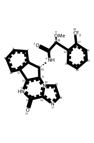 CO[C@@H](C(=O)N[C@H]1c2ccccc2-c2[nH]c(=O)c3nccn3c21)c1ccccc1C(F)(F)F